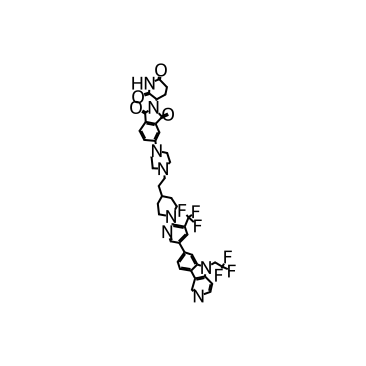 O=C1CCC(N2C(=O)c3ccc(N4CCN(CCC5CCN(c6ncc(-c7ccc8c9cnccc9n(CC(F)(F)F)c8c7)cc6C(F)(F)F)CC5)CC4)cc3C2=O)C(=O)N1